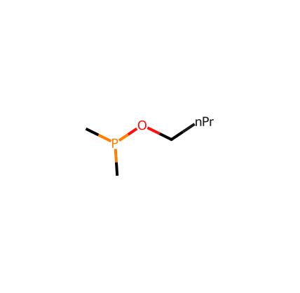 CCCCOP(C)C